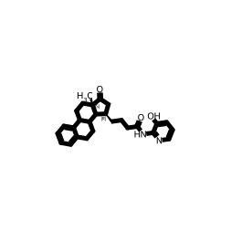 C[C@]12CCC3c4ccccc4CCC3C1[C@H](CCCC(=O)Nc1ncccc1O)CC2=O